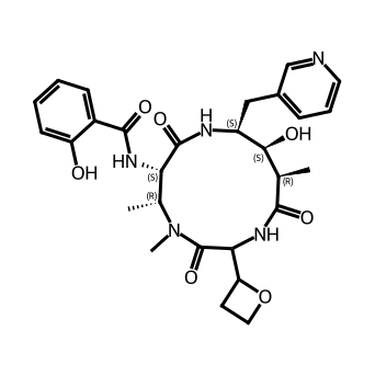 C[C@@H]1[C@H](NC(=O)c2ccccc2O)C(=O)N[C@@H](Cc2cccnc2)[C@@H](O)[C@@H](C)C(=O)NC(C2CCO2)C(=O)N1C